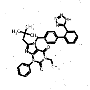 CCn1c(=O)c2c(nc(CC(C)(C)C)n2Cc2ccc(-c3ccccc3-c3nnn[nH]3)cc2)n(-c2ccccc2)c1=O